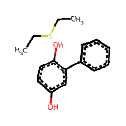 CCSCC.Oc1ccc(O)c(-c2ccccc2)c1